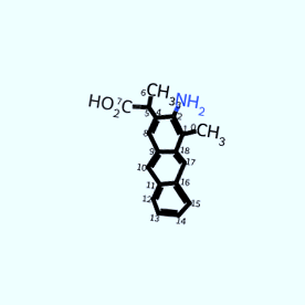 Cc1c(N)c(C(C)C(=O)O)cc2cc3ccccc3cc12